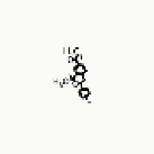 COC(=O)c1ccc(CCc2ccc(F)cc2)c(C(=O)OC)c1